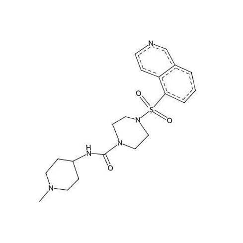 CN1CCC(NC(=O)N2CCN(S(=O)(=O)c3cccc4cnccc34)CC2)CC1